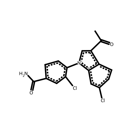 CC(=O)c1cn(-c2ccc(C(N)=O)cc2Cl)c2cc(Cl)ccc12